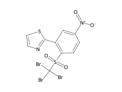 O=[N+]([O-])c1ccc(S(=O)(=O)C(Br)(Br)Br)c(-c2nccs2)c1